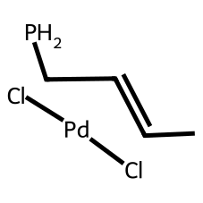 CC=CCP.[Cl][Pd][Cl]